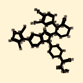 CCCNC(=O)C1CCC(n2c([C@@H]3CCCC(=O)N3c3ccc(F)c(F)c3)nc3cc(-c4c(C)noc4C)ccc32)CC1